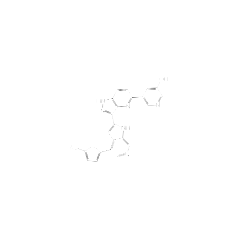 CC(=O)c1ccc(-c2cncc3[nH]c(-c4n[nH]c5ccc(-c6cncc(O)c6)nc45)cc23)s1